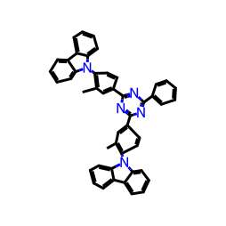 Cc1cc(-c2nc(-c3ccccc3)nc(-c3ccc(-n4c5ccccc5c5ccccc54)c(C)c3)n2)ccc1-n1c2ccccc2c2ccccc21